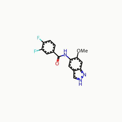 COc1cc2n[nH]cc2cc1NC(=O)c1ccc(F)c(F)c1